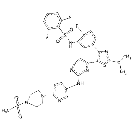 CN(C)c1nc(-c2ccc(F)c(NS(=O)(=O)c3c(F)cccc3F)c2)c(-c2ccnc(Nc3ccc(N4CCN(S(C)(=O)=O)CC4)nc3)n2)s1